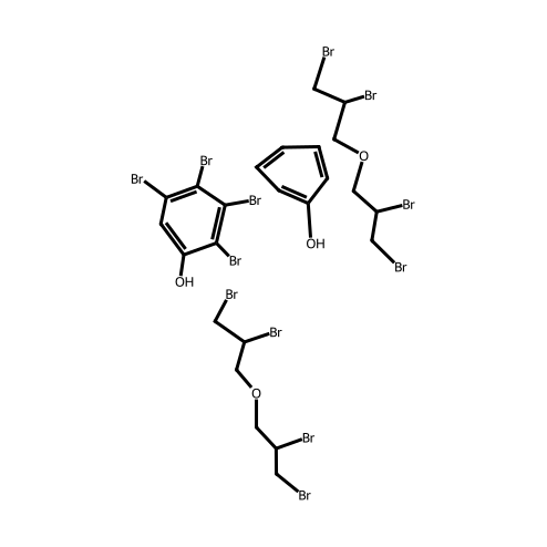 BrCC(Br)COCC(Br)CBr.BrCC(Br)COCC(Br)CBr.Oc1cc(Br)c(Br)c(Br)c1Br.Oc1ccccc1